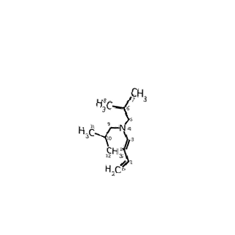 C=C/C=C/N(CC(C)C)CC(C)C